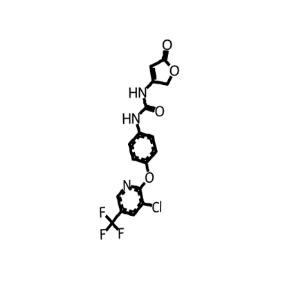 O=C(NC1=CC(=O)OC1)Nc1ccc(Oc2ncc(C(F)(F)F)cc2Cl)cc1